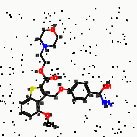 COc1cccc2sc(C(=O)OCCN3CCOCC3)c(COc3ccc(C(N)O)cc3)c12